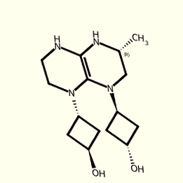 C[C@@H]1CN([C@H]2C[C@H](O)C2)C2=C(NCCN2[C@H]2C[C@H](O)C2)N1